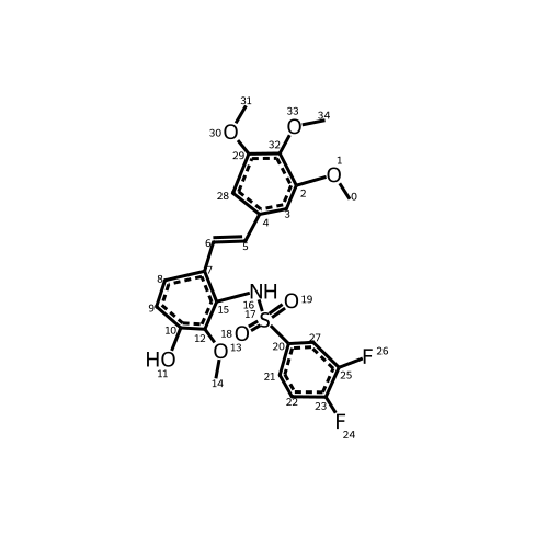 COc1cc(C=Cc2ccc(O)c(OC)c2NS(=O)(=O)c2ccc(F)c(F)c2)cc(OC)c1OC